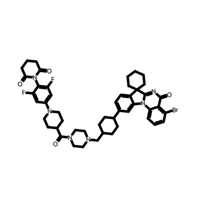 O=C(C1CCN(c2cc(F)c(N3C(=O)CCCC3=O)c(F)c2)CC1)N1CCN(CC2CCC(c3ccc4c(c3)-n3c(nc(=O)c5c(Br)cccc53)C43CCCCC3)CC2)CC1